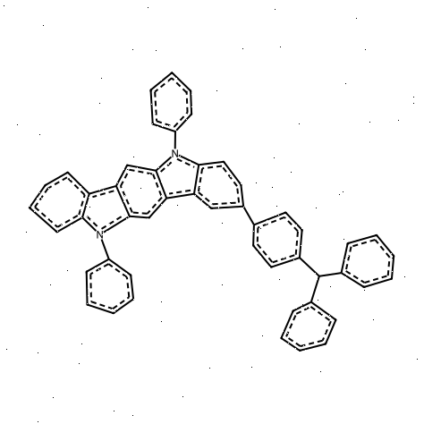 c1ccc(C(c2ccccc2)c2ccc(-c3ccc4c(c3)c3cc5c(cc3n4-c3ccccc3)c3ccccc3n5-c3ccccc3)cc2)cc1